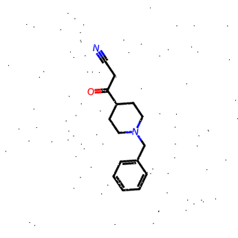 N#CCC(=O)C1CCN(Cc2ccccc2)CC1